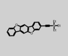 CC[Si](C#Cc1ccc2c(c1)oc1cc3c(cc12)oc1ccccc13)(CC)CC